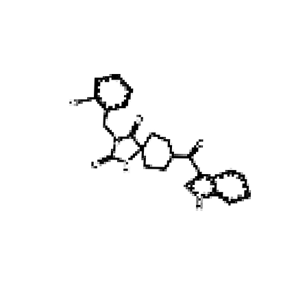 O=C(c1c[nH]c2ccccc12)C1CCC2(CC1)NC(=O)N(Cc1ccccc1Cl)C2=O